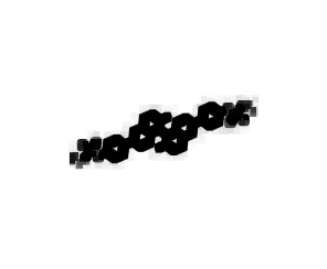 Cc1ccc2cc(-c3ccc(OS(=O)(=O)C(F)(F)F)cc3)ccc2c1-c1c(C)ccc2cc(-c3ccc(OS(=O)(=O)C(F)(F)F)cc3)ccc12